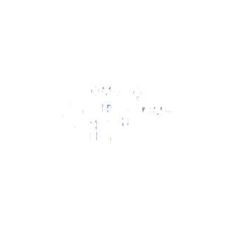 COC(=O)c1nc(Cl)c(Nc2ccccc2)nc1OC